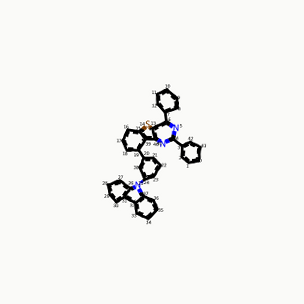 c1ccc(-c2nc(-c3ccccc3)c3sc4cccc(-c5cccc(-n6c7ccccc7c7ccccc76)c5)c4c3n2)cc1